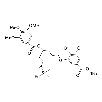 COc1cc(C(=O)OC(CCCOc2cc(C(=O)OC(C)(C)C)cc(Cl)c2Br)CCO[Si](C)(C)C(C)(C)C)cc(OC)c1OC